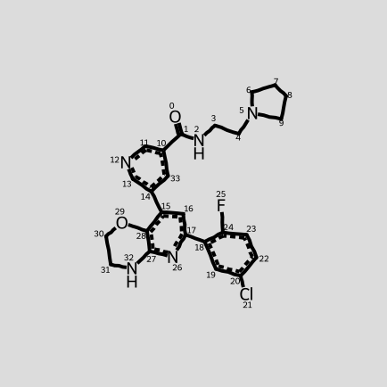 O=C(NCCN1CCCC1)c1cncc(-c2cc(-c3cc(Cl)ccc3F)nc3c2OCCN3)c1